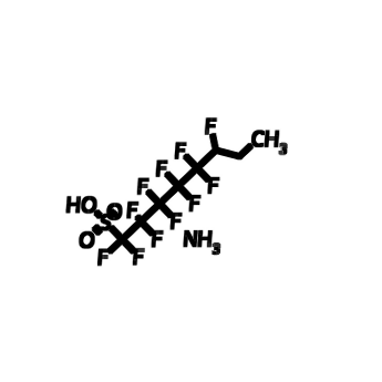 CCC(F)C(F)(F)C(F)(F)C(F)(F)C(F)(F)C(F)(F)S(=O)(=O)O.N